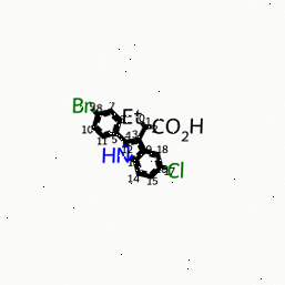 CCC(C(=O)O)c1c(-c2ccc(Br)cc2)[nH]c2ccc(Cl)cc12